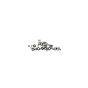 Cc1ccccc1[C@@H]1COCCN1C1CC2(CCN(c3ccc(C(=O)NS(=O)(=O)c4ccc(NCC5CCC(C)(O)CC5)c([N+](=O)[O-])c4)c(N4C[C@@H]5COCC[C@H]5Oc5nc6[nH]cc(F)c6cc54)c3)CC2)C1